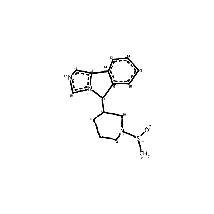 C[S+]([O-])N1CCCC(C2c3ccccc3-c3cncn32)C1